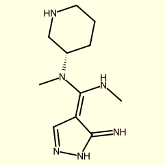 CN/C(=C1/C=NNC1=N)N(C)[C@H]1CCCNC1